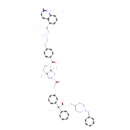 O=C(COc1cccc([C@](O)(C(=O)OCC2CCN(Cc3ccccc3)CC2)c2ccccc2)c1)N1C[C@H]2CCN(C(=O)c3ccc(CCNC[C@H](O)c4ccc(O)c5[nH]c(=O)ccc45)cc3)[C@H]2C1